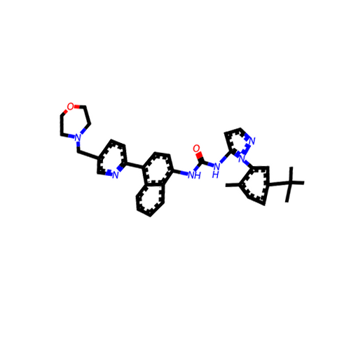 Cc1ccc(C(C)(C)C)cc1-n1nccc1NC(=O)Nc1ccc(-c2ccc(CN3CCOCC3)cn2)c2ccccc12